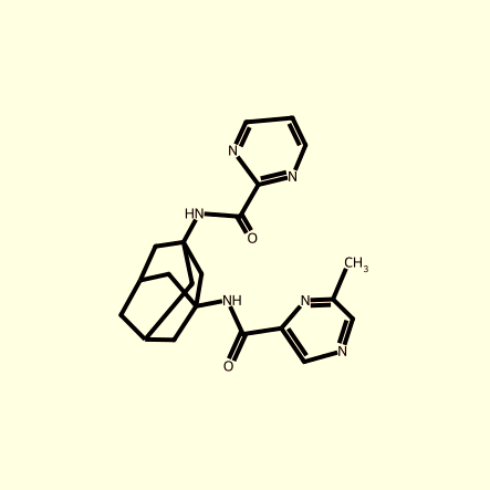 Cc1cncc(C(=O)NC23CC4CC(C2)CC(NC(=O)c2ncccn2)(C4)C3)n1